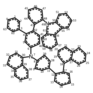 c1ccc(-c2cc(N(c3ccc(-c4ccccc4-c4cccc5ccccc45)cc3)c3cccc4ccccc34)ccc2-c2ccccc2-n2c3ccccc3c3ccccc32)cc1